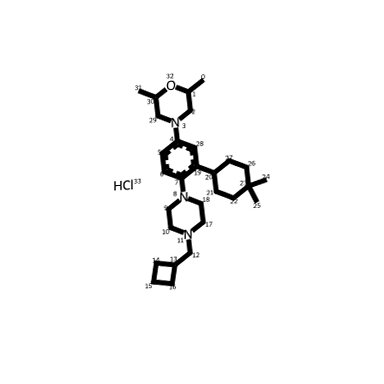 CC1CN(c2ccc(N3CCN(CC4CCC4)CC3)c(C3CCC(C)(C)CC3)c2)CC(C)O1.Cl